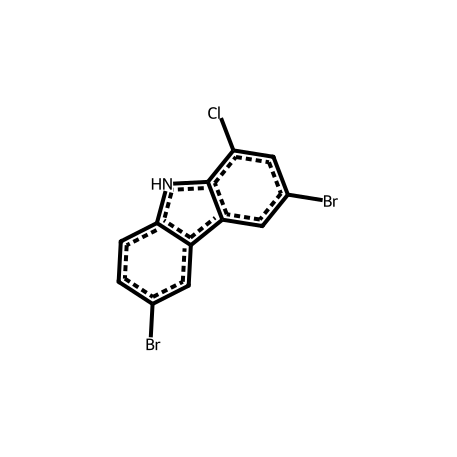 Clc1cc(Br)cc2c1[nH]c1ccc(Br)cc12